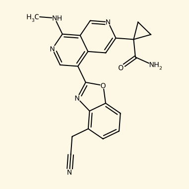 CNc1ncc(-c2nc3c(CC#N)cccc3o2)c2cc(C3(C(N)=O)CC3)ncc12